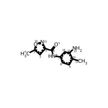 Cc1cc(C(=O)Nc2ccc(C)c(N)c2)no1